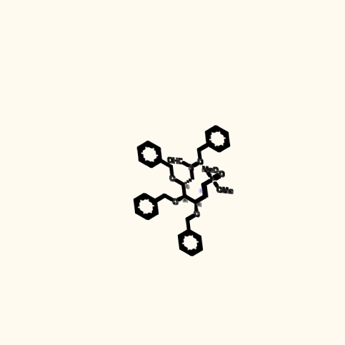 COP(=O)(/C=C/[C@@H](OCc1ccccc1)[C@@H](OCc1ccccc1)[C@@H](CN(C=O)OCc1ccccc1)OCc1ccccc1)OC